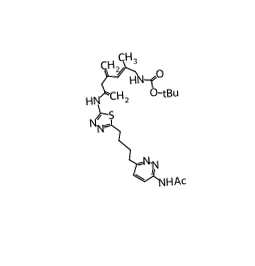 C=C(/C=C(\C)CNC(=O)OC(C)(C)C)CC(=C)Nc1nnc(CCCCc2ccc(NC(C)=O)nn2)s1